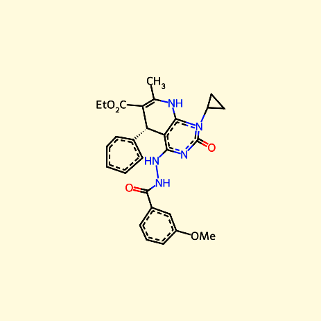 CCOC(=O)C1=C(C)Nc2c(c(NNC(=O)c3cccc(OC)c3)nc(=O)n2C2CC2)[C@@H]1c1ccccc1